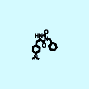 CN(C)c1ccc(/C=C2/NC(=O)N(Cc3ccccc3)C2=O)cc1